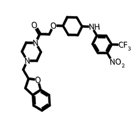 O=C(COC1CCC(Nc2ccc([N+](=O)[O-])c(C(F)(F)F)c2)CC1)N1CCN(CC2Cc3ccccc3O2)CC1